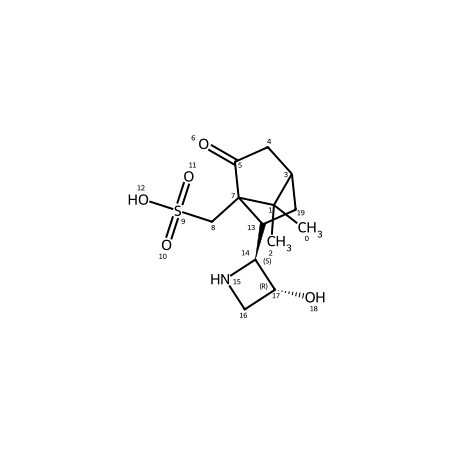 CC1(C)C2CC(=O)C1(CS(=O)(=O)O)C([C@@H]1NC[C@H]1O)C2